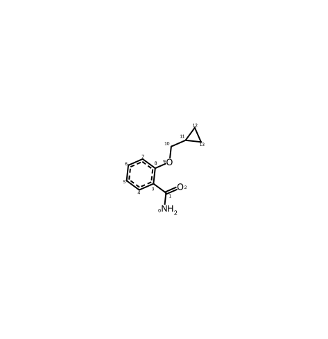 NC(=O)c1ccccc1OCC1CC1